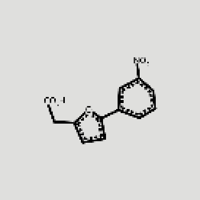 O=C(O)Cc1ccc(-c2cccc([N+](=O)[O-])c2)o1